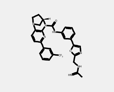 CC(=N)NCc1ncc(-c2cccc(NC(=O)N3c4nc(-c5cccc(C(F)(F)F)c5)ccc4N4CC[C@H]3C4)c2)o1